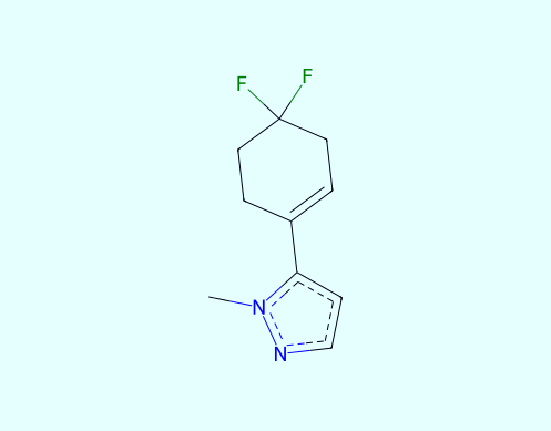 Cn1nccc1C1=CCC(F)(F)CC1